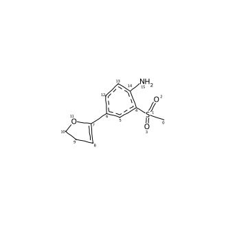 CS(=O)(=O)c1cc(C2=CCCO2)ccc1N